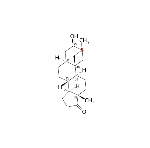 CSC[C@]12CC[C@H](O)C[C@@H]1CC[C@@H]1[C@@H]2CC[C@]2(C)C(=O)CC[C@@H]12